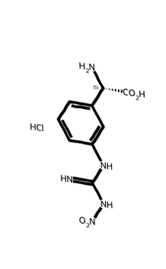 Cl.N=C(Nc1cccc([C@H](N)C(=O)O)c1)N[N+](=O)[O-]